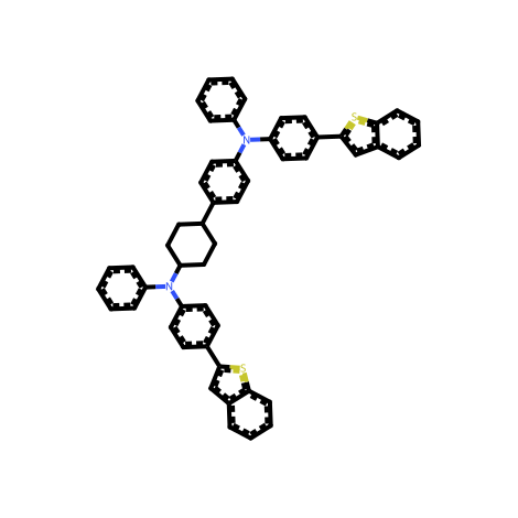 c1ccc(N(c2ccc(-c3cc4ccccc4s3)cc2)c2ccc(C3CCC(N(c4ccccc4)c4ccc(-c5cc6ccccc6s5)cc4)CC3)cc2)cc1